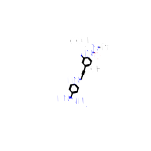 CCOC(=O)CN(C(=O)Nc1cc(C(F)(F)F)c(C#CCNc2ccc(C(=N)N)cc2)cc1C)C(C)C